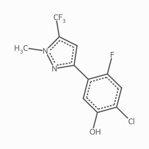 Cn1nc(-c2cc(O)c(Cl)cc2F)cc1C(F)(F)F